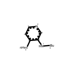 CCCCCCc1ccncc1NC(C)CC